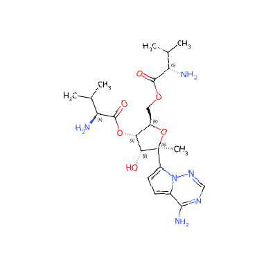 CC(C)[C@H](N)C(=O)OC[C@H]1O[C@@](C)(c2ccc3c(N)ncnn23)[C@H](O)[C@@H]1OC(=O)[C@@H](N)C(C)C